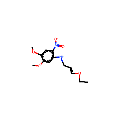 CCOC=CCNc1cc(OC)c(OC)cc1[N+](=O)[O-]